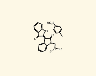 CCN(CC)CN1C(=O)/C(=C2\Nc3ccccc3C2=O)c2ccccc21.Cc1ccc(S(=O)(=O)O)cc1